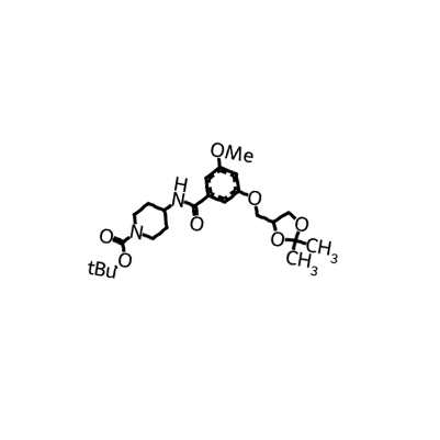 COc1cc(OCC2COC(C)(C)O2)cc(C(=O)NC2CCN(C(=O)OC(C)(C)C)CC2)c1